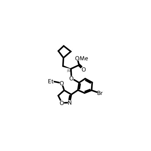 CCOC1CON=C1c1cc(Br)ccc1O[C@@H](CC1CCC1)C(=O)OC